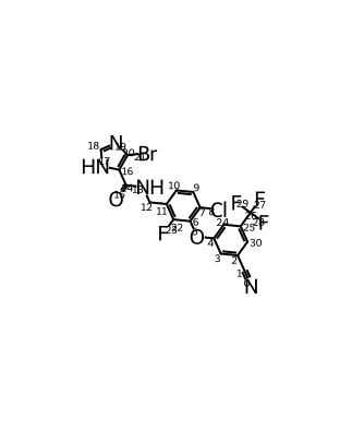 N#Cc1cc(Oc2c(Cl)ccc(CNC(=O)c3[nH]cnc3Br)c2F)cc(C(F)(F)F)c1